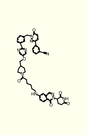 N#Cc1cccc(-c2ccc(=O)n(Cc3cccc(-c4ncc(OCC5CCN(C(=O)CCCCCNc6ccc7c(=O)n(C8CCC(=O)NC8=O)ncc7c6)CC5)cn4)c3)n2)c1